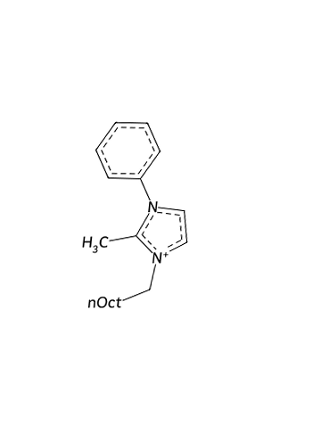 CCCCCCCCC[n+]1ccn(-c2ccccc2)c1C